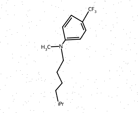 CC(C)CCCCN(C)c1ccc(C(F)(F)F)cc1